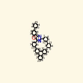 c1ccc(-c2cccc(-c3nc(-c4cccc(-c5ccc6c7ccccc7c7ccccc7c6c5)c4)c4oc5ccc(-c6ccccc6)cc5c4n3)c2)cc1